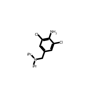 CC(C)N(Cc1cc(Cl)c(N)c(Cl)c1)C(C)C